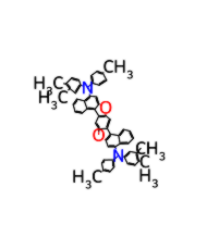 Cc1ccc(N(c2ccc(C)c(C)c2)c2cc3oc4cc5c(cc4c3c3ccccc23)oc2cc(N(c3ccc(C)cc3)c3ccc(C)c(C)c3)c3ccccc3c25)cc1